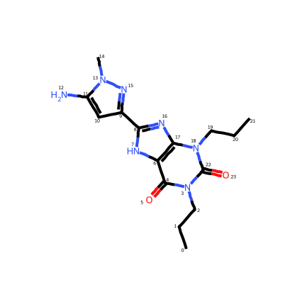 CCCn1c(=O)c2[nH]c(-c3cc(N)n(C)n3)nc2n(CCC)c1=O